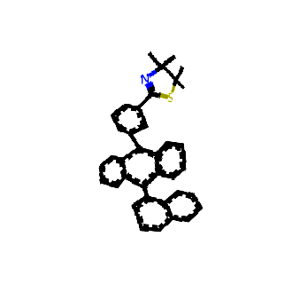 CC1(C)N=C(c2cccc(-c3c4ccccc4c(-c4cccc5ccccc45)c4ccccc34)c2)SC1(C)C